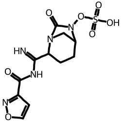 N=C(NC(=O)c1ccon1)C1CCC2CN1C(=O)N2OS(=O)(=O)O